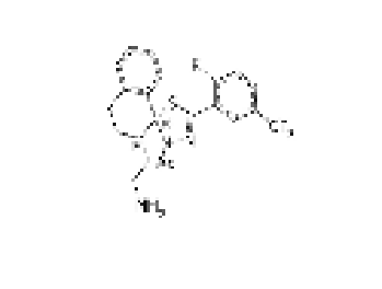 CC(=O)N1N=C(c2cc(C(F)(F)F)ccc2F)S[C@]12c1ccccc1CC[C@H]2CCN